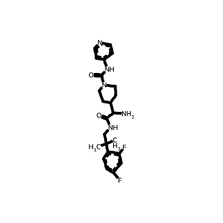 CC(C)(CNC(=O)C(N)C1CCN(C(=O)Nc2ccncc2)CC1)c1ccc(F)cc1F